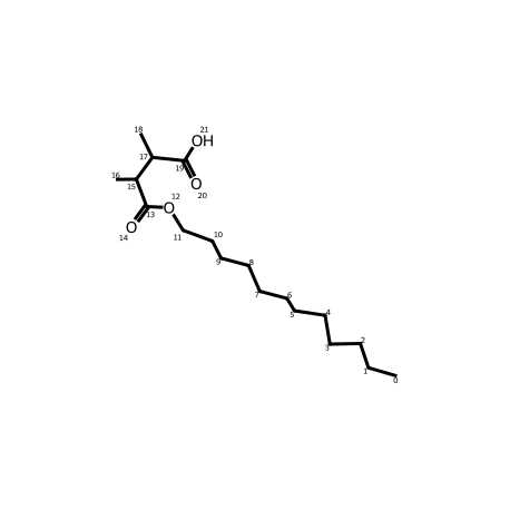 CCCCCCCCCCCCOC(=O)C(C)C(C)C(=O)O